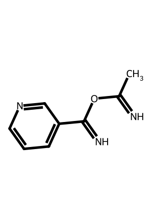 CC(=N)OC(=N)c1cccnc1